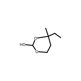 CCC1(C)CCOC(O)O1